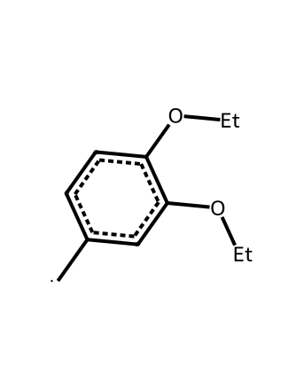 [CH2]c1ccc(OCC)c(OCC)c1